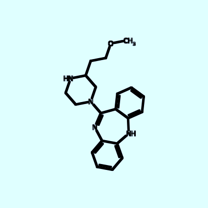 COCCC1CN(C2=Nc3ccccc3Nc3ccccc32)CCN1